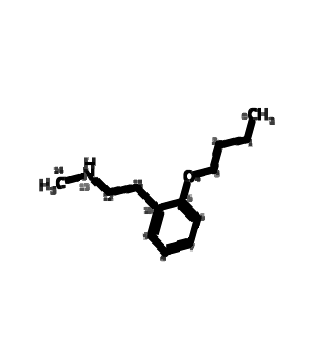 CCCCOc1ccccc1CCNC